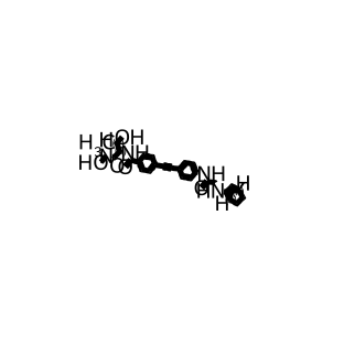 C[C@@H](O)[C@H](NC(=O)c1ccc(C#Cc2ccc(NC(=O)CNC3C[C@@H]4CC[C@H]3C4)cc2)cc1)C(=O)NO